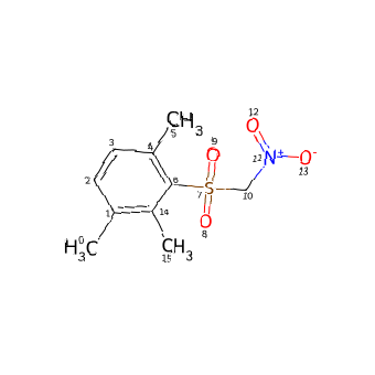 Cc1ccc(C)c(S(=O)(=O)C[N+](=O)[O-])c1C